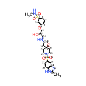 CNS(=O)(=O)c1cccc(OCC(O)CNC2COC3(CCN(S(=O)(=O)c4ccc5[nH]c(C)nc5c4)CC3)C2)c1